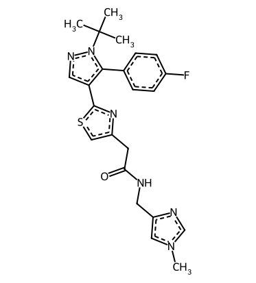 Cn1cnc(CNC(=O)Cc2csc(-c3cnn(C(C)(C)C)c3-c3ccc(F)cc3)n2)c1